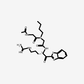 CCCCN(CC(=O)N[C@@H](CCCNC(=N)N)C(=O)c1nc2ccccc2s1)C(=O)CNC(C)=O